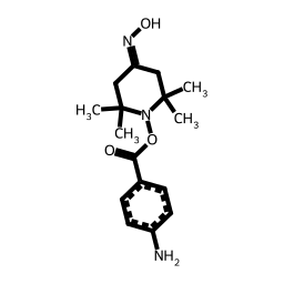 CC1(C)CC(=NO)CC(C)(C)N1OC(=O)c1ccc(N)cc1